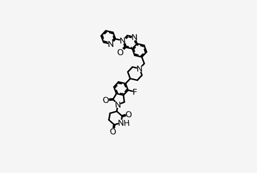 O=C1CCC(N2Cc3c(ccc(C4CCN(Cc5ccc6ncn(-c7ccccn7)c(=O)c6c5)CC4)c3F)C2=O)C(=O)N1